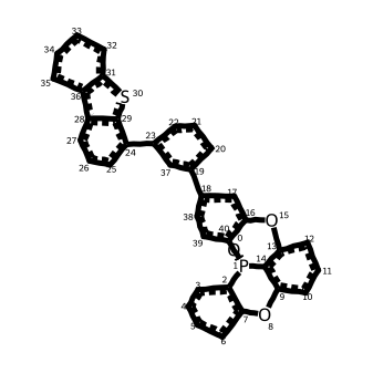 O=P12c3ccccc3Oc3cccc(c31)Oc1cc(-c3cccc(-c4cccc5c4sc4ccccc45)c3)ccc12